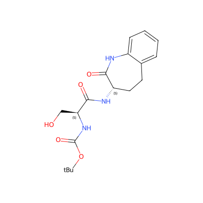 CC(C)(C)OC(=O)N[C@@H](CO)C(=O)N[C@H]1CCc2ccccc2NC1=O